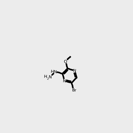 COc1ncc(Br)nc1NN